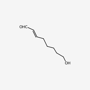 O=CC=CCCCCCO